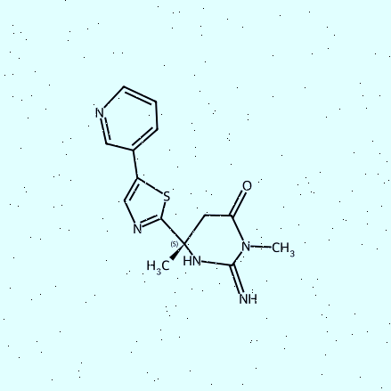 CN1C(=N)N[C@](C)(c2ncc(-c3cccnc3)s2)CC1=O